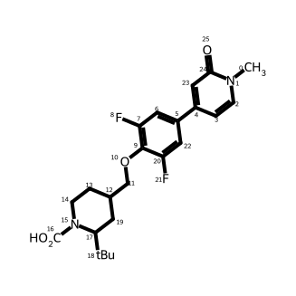 Cn1ccc(-c2cc(F)c(OCC3CCN(C(=O)O)C(C(C)(C)C)C3)c(F)c2)cc1=O